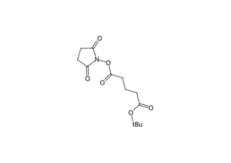 CC(C)(C)OC(=O)CCCC(=O)ON1C(=O)CCC1=O